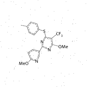 COc1ccc(-c2nc(OC)c(C(F)(F)F)c(Sc3ccc(C)cc3)n2)cn1